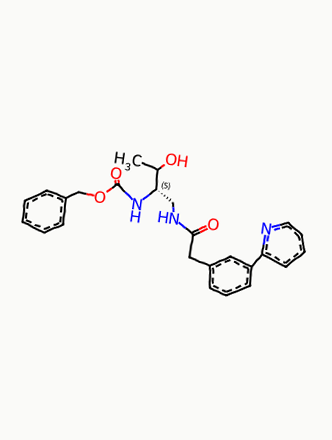 CC(O)[C@H](CNC(=O)Cc1cccc(-c2ccccn2)c1)NC(=O)OCc1ccccc1